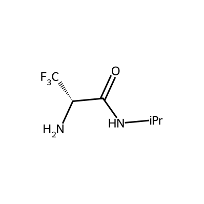 CC(C)NC(=O)[C@H](N)C(F)(F)F